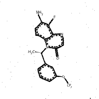 C[C@@H](c1cccc(OC(F)(F)F)c1)n1c(=O)cnc2c(F)c(N)ccc21